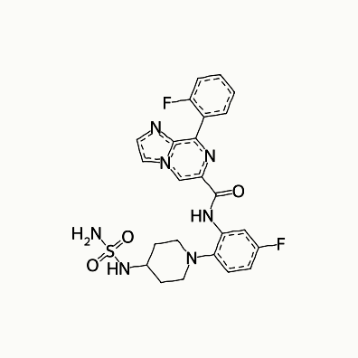 NS(=O)(=O)NC1CCN(c2ccc(F)cc2NC(=O)c2cn3ccnc3c(-c3ccccc3F)n2)CC1